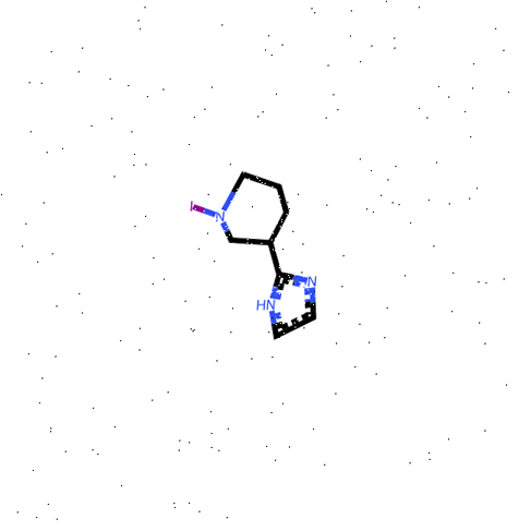 IN1CCCC(c2ncc[nH]2)C1